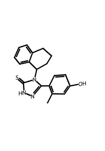 Cc1cc(O)ccc1-c1n[nH]c(=S)n1C1CCCc2ccccc21